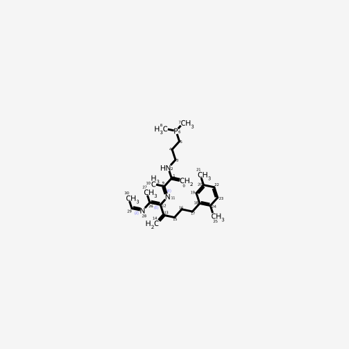 C=C(NCCCP(C)C)/C(C)=N/C(C(=C)CCCc1cc(C)ccc1C)=C(C)/N=C\C